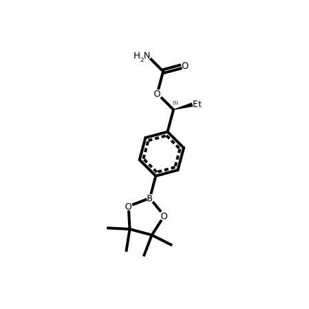 CC[C@H](OC(N)=O)c1ccc(B2OC(C)(C)C(C)(C)O2)cc1